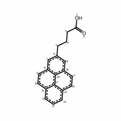 O=C(O)CCCc1cc2ccc3cccc4ccc(c1)c2c34